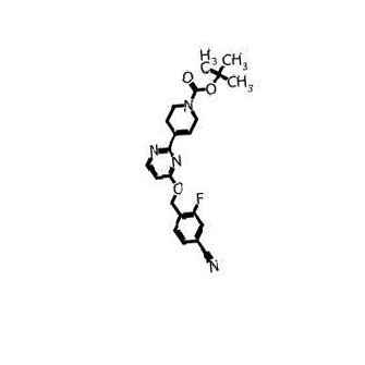 CC(C)(C)OC(=O)N1CC=C(c2nccc(OCc3ccc(C#N)cc3F)n2)CC1